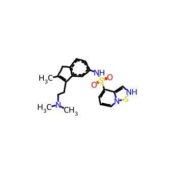 CC1=C(CCN(C)C)c2cc(NS(=O)(=O)C3=CC=CN4SNC=C34)ccc2C1